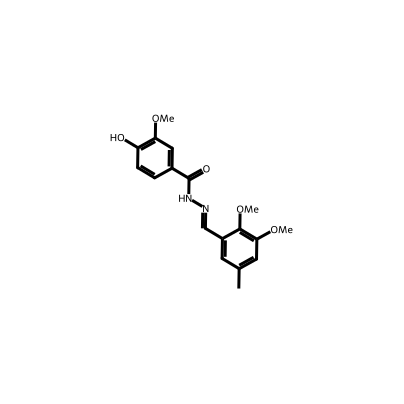 COc1cc(C(=O)N/N=C/c2cc(C)cc(OC)c2OC)ccc1O